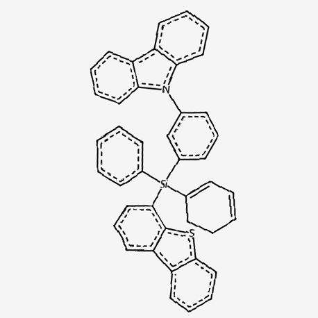 C1=CCCC([Si](c2ccccc2)(c2cccc(-n3c4ccccc4c4ccccc43)c2)c2cccc3c2sc2ccccc23)=C1